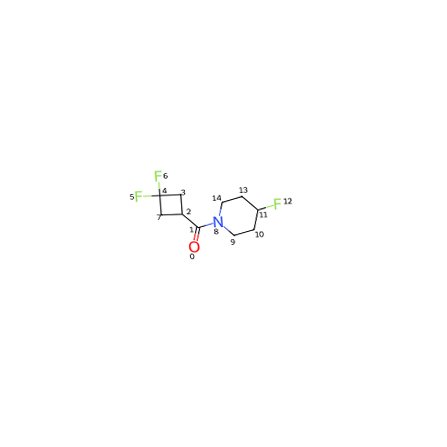 O=C(C1CC(F)(F)C1)N1CCC(F)CC1